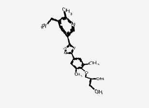 Cc1cc(-c2noc(-c3cnc(C)c(CC(C)C)c3)n2)cc(C)c1OCC(O)CO